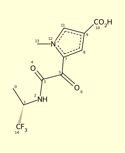 C[C@H](NC(=O)C(=O)c1cc(C(=O)O)cn1C)C(F)(F)F